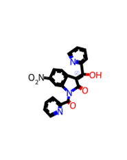 O=C1/C(=C(\O)c2ccccn2)c2ccc([N+](=O)[O-])cc2N1C(=O)c1ccccn1